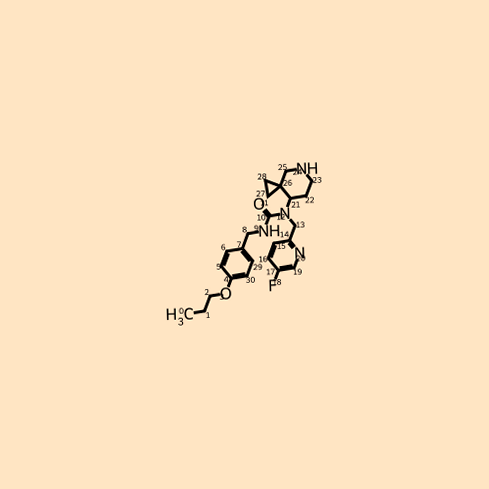 CCCOc1ccc(CNC(=O)N(Cc2ccc(F)cn2)C2CCNCC23CC3)cc1